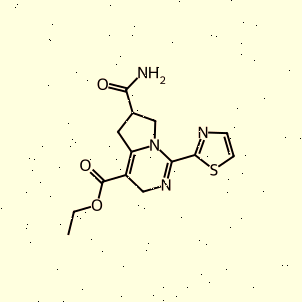 CCOC(=O)C1=C2CC(C(N)=O)CN2C(c2nccs2)=NC1